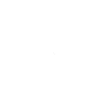 CCCN(C)CC1=CC1